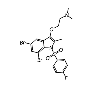 Cc1c(OCCN(C)C)c2cc(Br)cc(Br)c2n1S(=O)(=O)c1ccc(F)cc1